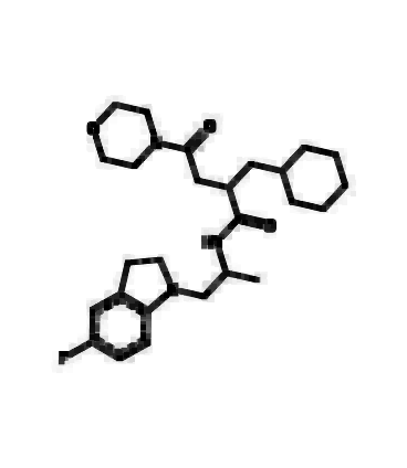 CC(CN1CCc2cc(F)ccc21)NC(=O)C(CC(=O)N1CCOCC1)CC1CCCCC1